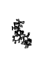 Fc1cc(C2=CCCCc3nc(NCC4(F)CC4)ncc32)cn2ccnc12